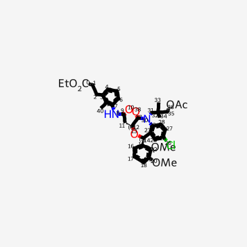 CCOC(=O)CCc1cccc(NC(=O)C[C@H]2O[C@H](c3cccc(OC)c3OC)c3cc(Cl)ccc3N(CC(C)(C)COC(C)=O)C2=O)c1C